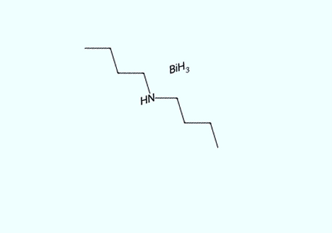 CCCCNCCCC.[BiH3]